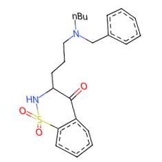 CCCCN(CCCC1NS(=O)(=O)c2ccccc2C1=O)Cc1ccccc1